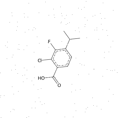 CC(C)c1ccc(C(=O)O)c(Cl)c1F